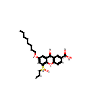 CCCCCCCCOc1cc([S+]([O-])CCC)c2oc3ccc(C(=O)O)cc3c(=O)c2c1